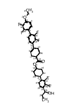 CCOc1ccc(-c2ccc(C3=CCC(C(=O)OC4CCC(c5ccc(C(O)CC)c(F)c5F)CC4)CC3)c(F)c2F)c(F)c1F